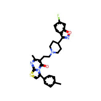 Cc1ccc(-c2csc3nc(C)c(CCN4CCC(c5noc6cc(F)ccc56)CC4)c(=O)n23)cc1